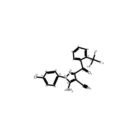 N#Cc1c(C(=O)c2ccccc2C(F)(F)F)nn(-c2ccc(Cl)cc2)c1N